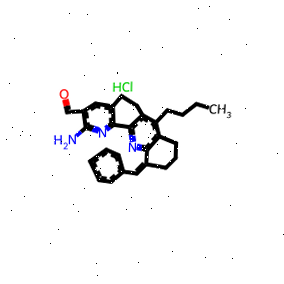 CCCCc1c2c(nc3c1CCc1cc(C=O)c(N)nc1-3)/C(=C\c1ccccc1)CCC2.Cl